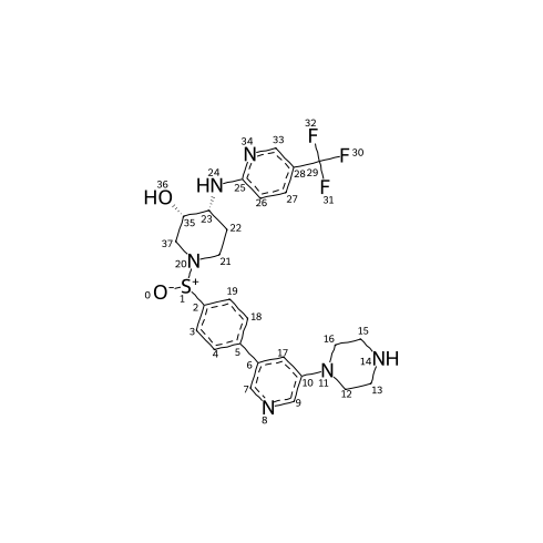 [O-][S+](c1ccc(-c2cncc(N3CCNCC3)c2)cc1)N1CC[C@@H](Nc2ccc(C(F)(F)F)cn2)[C@@H](O)C1